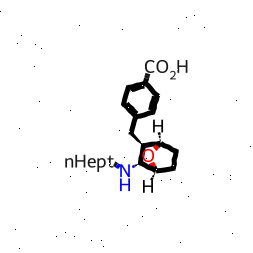 CCCCCCCN[C@@H]1[C@@H](Cc2ccc(C(=O)O)cc2)[C@H]2CC[C@@H]1O2